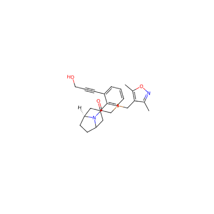 Cc1noc(C)c1CSCC(=O)N1C2CC[C@H]1CC(c1ccccc1C#CCO)C2